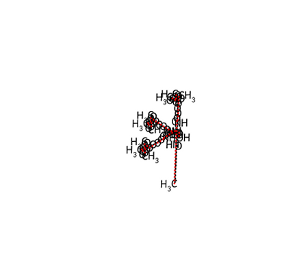 CCCCCCCCCCCCCCCCCCCCCCCC(=O)NCCCC[C@H](NC(=O)[C@H](CCCCNC(=O)COCCOCCOCCO[C@H]1C[C@@H](OC(C)=O)[C@@H](OC(C)=O)[C@@H](COC(C)=O)O1)NC(=O)[C@H](CCCCNC(=O)COCCOCCOCCO[C@H]1C[C@@H](OC(C)=O)[C@@H](OC(C)=O)[C@@H](COC(C)=O)O1)NC(=O)COCCOCCOCCO[C@H]1C[C@@H](OC(C)=O)[C@@H](OC(C)=O)[C@@H](COC(C)=O)O1)C(=O)O